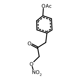 CC(=O)Oc1ccc(CC(=O)CO[N+](=O)[O-])cc1